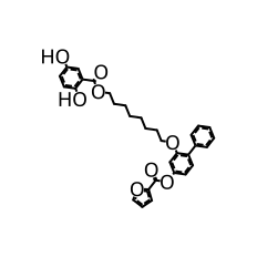 O=C(Oc1ccc(-c2ccccc2)c(OCCCCCCCCOC(=O)c2cc(O)ccc2O)c1)c1ccco1